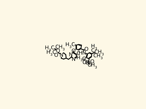 COc1c(NC(=O)c2ccc(C)c(Oc3nc(CC4CCN(C(=O)OC(C)(C)C)CC4)ncc3C)c2)cc(C(C)(C)C)cc1S(C)(=O)=O